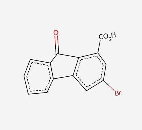 O=C(O)c1cc(Br)cc2c1C(=O)c1ccccc1-2